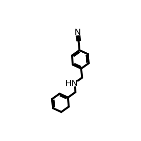 N#Cc1ccc(CNCC2=CC=CCC2)cc1